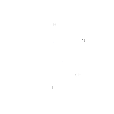 C/C1=C\C(C#N)=C(\C(C)C)CC#CC1